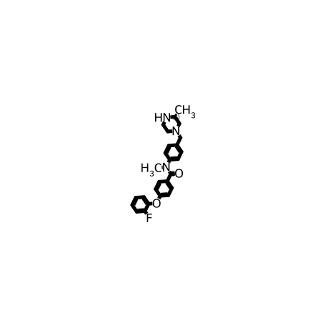 C[C@H]1CN(Cc2ccc(N(C)C(=O)c3ccc(Oc4ccccc4F)cc3)cc2)CCN1